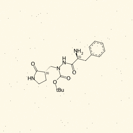 CC(C)(C)OC(=O)N(C[C@@H]1CCNC1=O)NC(=O)[C@@H](N)Cc1ccccc1